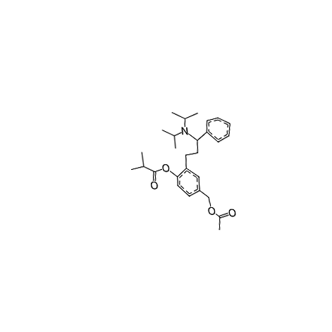 CC(=O)OCc1ccc(OC(=O)C(C)C)c(CCC(c2ccccc2)N(C(C)C)C(C)C)c1